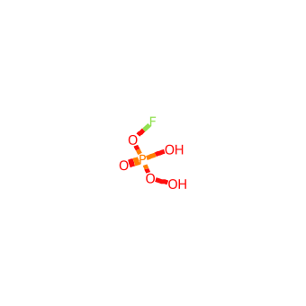 O=P(O)(OO)OF